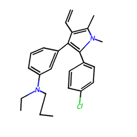 C=Cc1c(-c2cccc(N(CC)CCC)c2)c(-c2ccc(Cl)cc2)n(C)c1C